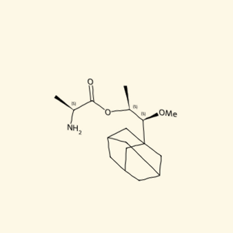 CO[C@H]([C@H](C)OC(=O)[C@H](C)N)C12CC3CC(CC(C3)C1)C2